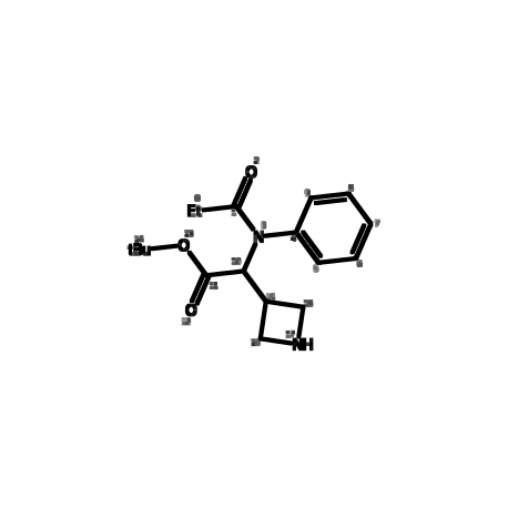 CCC(=O)N(c1ccccc1)C(C(=O)OC(C)(C)C)C1CNC1